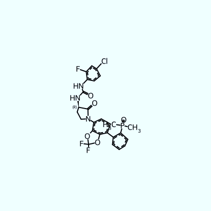 CP(C)(=O)c1ccccc1-c1ccc(N2CC[C@@H](NC(=O)Nc3ccc(Cl)cc3F)C2=O)c2c1OC(F)(F)O2